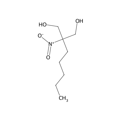 CCCCCC(CO)(CO)[N+](=O)[O-]